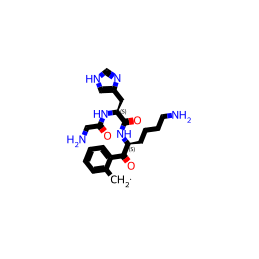 [CH2]c1ccccc1C(=O)[C@H](CCCCN)NC(=O)[C@H](Cc1c[nH]cn1)NC(=O)CN